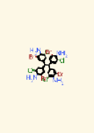 Nc1c(Cl)cc(C(c2cc(Cl)c(N)c(Br)c2)C(c2cc(Cl)c(N)c(Br)c2)c2cc(Cl)c(N)c(Br)c2)cc1Br